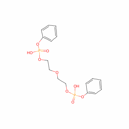 O=P(O)(OCCOCCOP(=O)(O)Oc1ccccc1)Oc1ccccc1